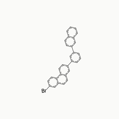 Brc1ccc2c(ccc3cc(-c4cccc(-c5ccc6ccccc6c5)c4)ccc32)c1